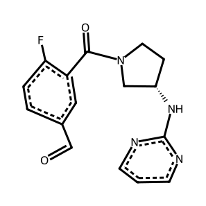 O=Cc1ccc(F)c(C(=O)N2CC[C@H](Nc3ncccn3)C2)c1